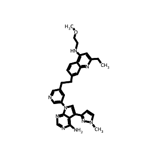 CCc1cc(NCCOC)c2ccc(CCc3cncc(-n4cc(-c5ccn(C)n5)c5c(N)ncnc54)c3)cc2n1